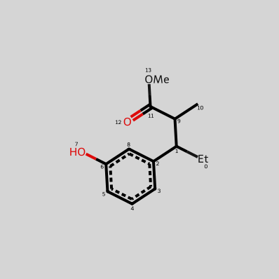 CCC(c1cccc(O)c1)C(C)C(=O)OC